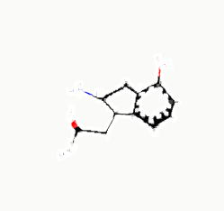 COC(=O)CC1c2cccc(O)c2CC1N